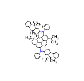 CC(C)C1=CC(N(C2=CCCC=C2)C2=CC3=C4c5ccccc5C(C)(C)C(=C2)[C@H]34)C2CC3C4C(C=C(N(c5ccccc5)C5C=C6C(CC5)c5ccccc5C6(C)C)C5C=CC1=C2C54)CCC3(C)C